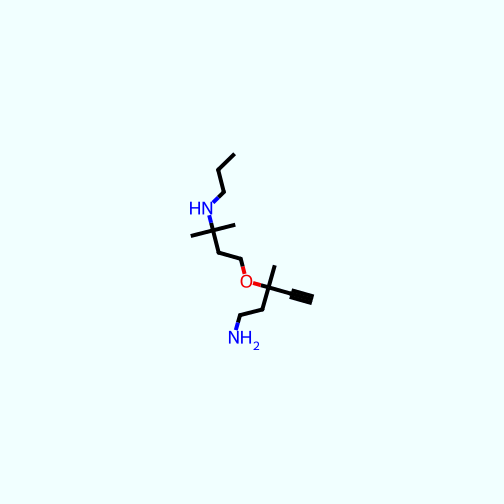 C#CC(C)(CCN)OCCC(C)(C)NCCC